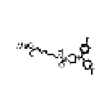 COC(=O)CCCCCCNC(=O)N1CCN(C(c2ccc(F)cc2)c2ccc(F)cc2)CC1